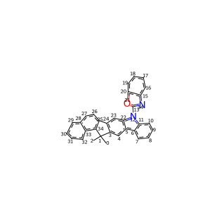 CC1(C)c2cc3c4ccccc4n(-c4nc5ccccc5o4)c3cc2-c2ccc3ccccc3c21